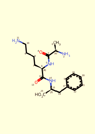 C[C@@H](N)C(=O)N[C@H](CCCCN)C(=O)N[C@@H](Cc1ccccc1)C(=O)O